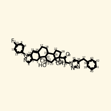 CC12Cc3cnn(-c4ccc(F)cc4)c3C=C1CCC1C2[C@@H](O)CC2(C)C1CC[C@]2(O)C(=O)Cn1cc(Cc2ccccc2)nn1